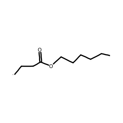 [CH2]CCC(=O)OCCCCCC